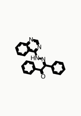 O=C(/C(=N\Nc1ncnc2ccccc12)c1ccccc1)c1ccccc1